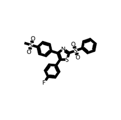 CS(=O)(=O)c1ccc(-c2nc(S(=O)(=O)c3ccccc3)sc2-c2ccc(F)cc2)cc1